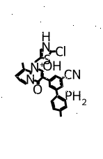 Cc1ccc(-c2cc(C#N)cc(-c3c(O)[n+](CC4=CNC(Cl)S4)c4c(C)cccn4c3=O)c2)c(P)c1